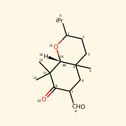 CC(C)C1CCC2(C)CC(C=O)C(=O)C(C)(C)[C@@H]2O1